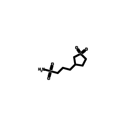 NS(=O)(=O)CCCC1CCS(=O)(=O)C1